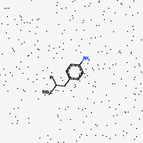 CCOC(=O)C(CC)Cc1ccc(N)cc1